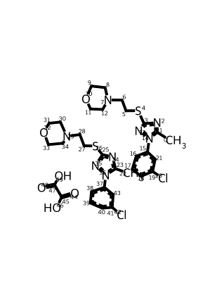 Cc1nc(SCCN2CCOCC2)nn1-c1cccc(Cl)c1.Cc1nc(SCCN2CCOCC2)nn1-c1cccc(Cl)c1.O=C(O)C(=O)O